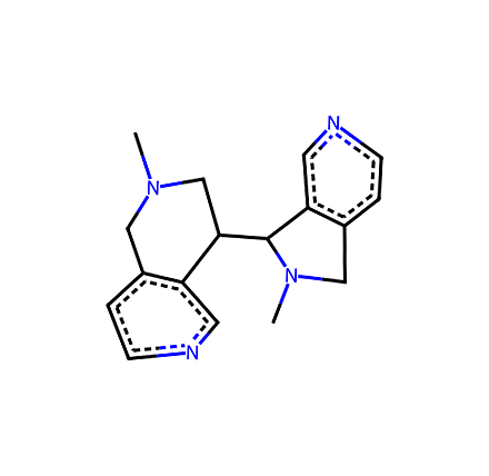 CN1Cc2ccncc2C(C2c3cnccc3CN2C)C1